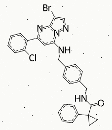 O=C(NCc1ccc(CNc2cc(-c3ccccc3Cl)nc3c(Br)cnn23)cc1)C1(c2ccccc2)CC1